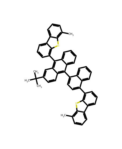 Cc1cccc2c1sc1c(-c3ccc(-c4c5ccccc5c(-c5cccc6c5sc5c(C)cccc56)c5cc(C(C)(C)C)ccc45)c4ccccc34)cccc12